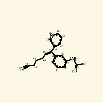 CC(=O)Nc1cccc(/C(=C\CCCC#N)c2cccnc2)c1